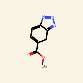 CC(C)(C)OC(=O)C1=CC=C2N=NN=C2C1